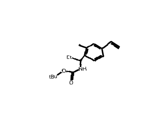 C=Cc1ccc(C(CC)NC(=O)OC(C)(C)C)c(C)c1